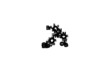 Brc1ccc2nc(-c3ccccn3)c(NCc3ccccc3)n2c1.CC(=O)[O-].CC(=O)[O-].[Cu+2]